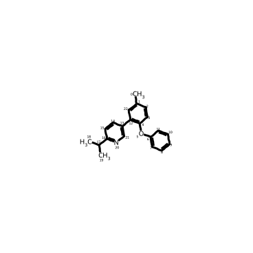 Cc1ccc(Oc2ccccc2)c(-c2ccc(C(C)C)nc2)c1